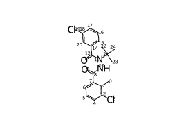 Cc1c(Cl)cccc1C(=O)NN(C(=O)c1cccc(Cl)c1)C(C)(C)C